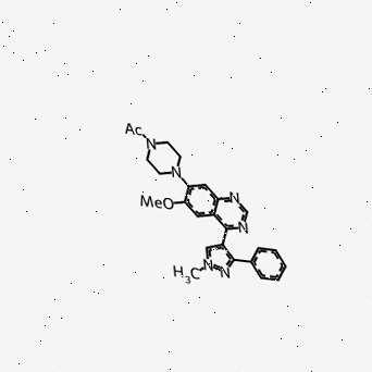 COc1cc2c(-c3cn(C)nc3-c3ccccc3)ncnc2cc1N1CCN(C(C)=O)CC1